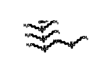 CCCCCCOP(=S)([S-])OCCCCCC.CCCCCCOP(=S)([S-])OCCCCCC.CCCCCCOP(=S)([S-])OCCCCCC.CCCCCCOP(=S)([S-])OCCCCCC.[O]=[Mo+4]